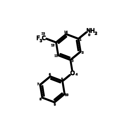 Nc1cc(Oc2ccccc2)cc(C(F)(F)F)c1